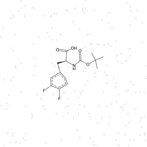 CC(C)(C)OC(=O)N[C@@H](Cc1ccc(F)c(F)c1)C(=O)O